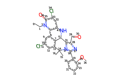 CCn1cc(NC2c3ccc(Cl)cc3C(C)(C)n3c(-c4ccccc4OC)nc(C=O)c32)cc(Cl)c1=O